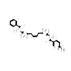 C#C/C=C\C(=C/C)C(=O)Nc1nnc(C/C=C\Cc2nnc(NC(=O)c3ccccc3)s2)s1